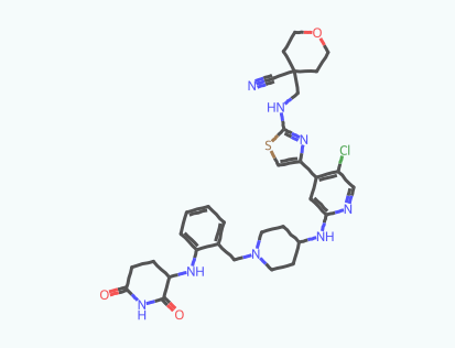 N#CC1(CNc2nc(-c3cc(NC4CCN(Cc5ccccc5NC5CCC(=O)NC5=O)CC4)ncc3Cl)cs2)CCOCC1